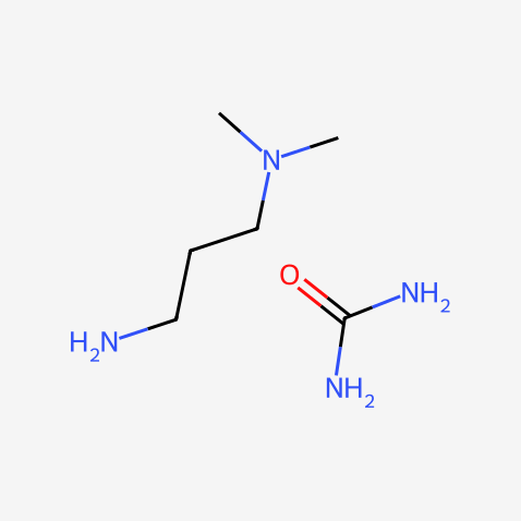 CN(C)CCCN.NC(N)=O